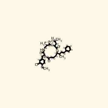 COc1ccc(CC2NC(=O)/C=C/CC(C(C)C=Cc3ccccc3)OC(=O)C(CC(C)C)OC(=O)C(C)CNC2=O)cc1Cl